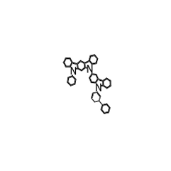 C1=CC(n2c3ccccc3c3cc(-n4c5ccccc5c5cc6c7ccccc7n(-c7ccccc7)c6cc54)ccc32)=CC(c2ccccc2)C1